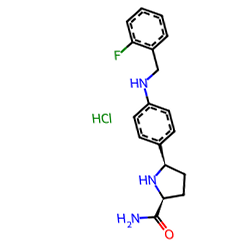 Cl.NC(=O)[C@@H]1CC[C@H](c2ccc(NCc3ccccc3F)cc2)N1